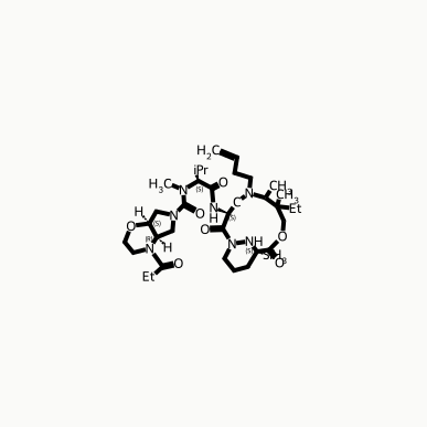 C=CCCN1C[C@H](NC(=O)[C@H](C(C)C)N(C)C(=O)N2C[C@@H]3OCCN(C(=O)CC)[C@@H]3C2)C(=O)N2CCC[C@@]([SiH3])(N2)C(=O)OCC(C)(CC)C1C